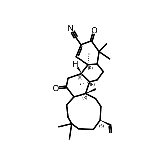 C=C[C@H]1CCC(C)(C)CCC2C(=O)C[C@@H]3[C@@]4(C)C=C(C#N)C(=O)C(C)(C)C4CC[C@@]3(C)[C@]2(C)CC1